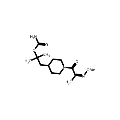 CO/N=C(/C)C(=O)N1CCC(CC(C)(C)OC(N)=O)CC1